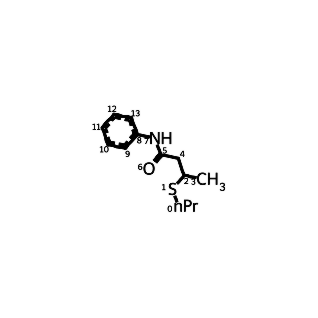 CCCSC(C)CC(=O)Nc1ccccc1